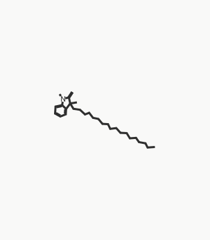 C=C1N(C)c2ccccc2C1(C)CCCCCCCCCCCCCCCCCC